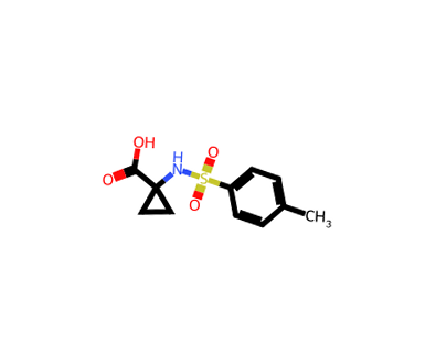 Cc1ccc(S(=O)(=O)NC2(C(=O)O)CC2)cc1